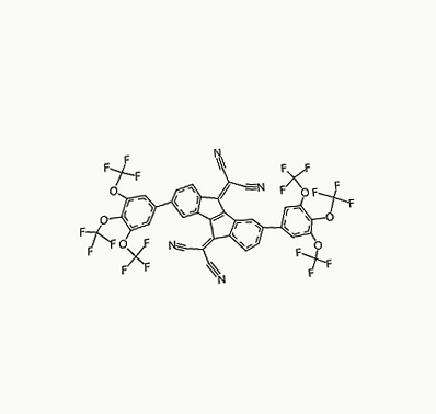 N#CC(C#N)=C1C2=C(C(=C(C#N)C#N)c3ccc(-c4cc(OC(F)(F)F)c(OC(F)(F)F)c(OC(F)(F)F)c4)cc32)c2cc(-c3cc(OC(F)(F)F)c(OC(F)(F)F)c(OC(F)(F)F)c3)ccc21